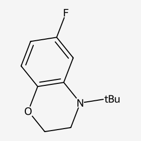 CC(C)(C)N1CCOc2ccc(F)cc21